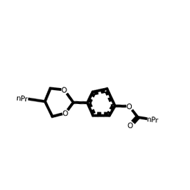 CCCC(=O)Oc1ccc(C2OCC(CCC)CO2)cc1